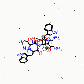 CCC(C)C(N)C(=O)C(C)(C(C(=O)CN)C(=O)CN)C(C(=O)O)(C(=O)C(N)Cc1c[nH]c2ccccc12)N(C(=O)C(N)Cc1c[nH]c2ccccc12)C(=O)C(N)C(C)O